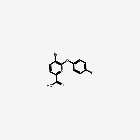 O=C(O)c1ccc(Br)c(Oc2ccc(F)cc2)n1